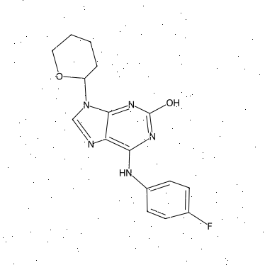 Oc1nc(Nc2ccc(F)cc2)c2ncn(C3CCCCO3)c2n1